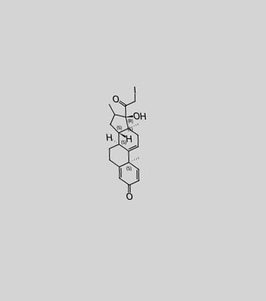 CC1C[C@H]2[C@@H]3CCC4=CC(=O)C=C[C@]4(C)C3=CC[C@]2(C)[C@@]1(O)C(=O)CI